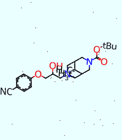 CC(C)(C)OC(=O)N1CC2CN(CC(O)COc3ccc(C#N)cc3)CC(C1)C2(C)C